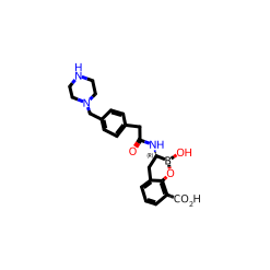 O=C(Cc1ccc(CN2CCNCC2)cc1)N[C@H]1Cc2cccc(C(=O)O)c2OB1O